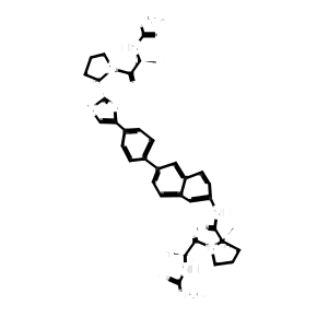 COC(=O)N[C@H](C(=O)N1CCC[C@H]1c1nc(-c2ccc(-c3ccc4cc(NC(=O)[C@]5(C)CCCN5C(=O)[C@@H](NC(=O)OC)C(C)C)ccc4c3)cc2)c[nH]1)C(C)C